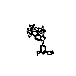 C[Si](C)(C)OC1(O[Si](C)(C)C)c2c(ccc(Oc3cc(F)cc(C#N)c3)c2C(F)F)C(F)(F)C1(F)F